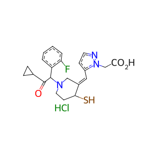 Cl.O=C(O)Cn1nccc1/C=C1\CN(C(C(=O)C2CC2)c2ccccc2F)CCC1S